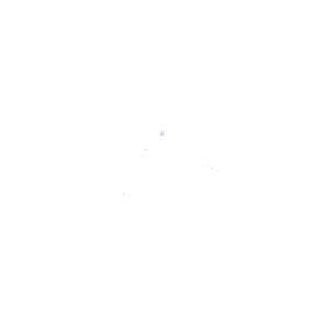 CCOC(=O)C(N)(CCCN)C(Cl)Cl